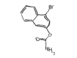 NC(=O)Oc1cc(Br)c2ccccc2c1